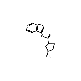 O=C(Nc1csc2cnccc12)C1CCN(C(=O)O)C1